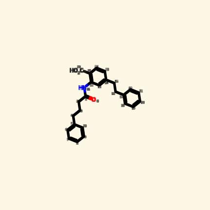 O=C(CCCc1ccccc1)Nc1cc(CCc2ccccc2)ccc1C(=O)O